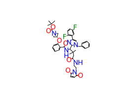 CC(C)(C)OC(=O)N1CC(Oc2ccccc2C(=O)N[C@@H](c2nc(-c3cc(F)ccc3F)cn2Cc2ccccc2)C(C)(C)CC(=O)NCCN2C(=O)C=CC2=O)C1